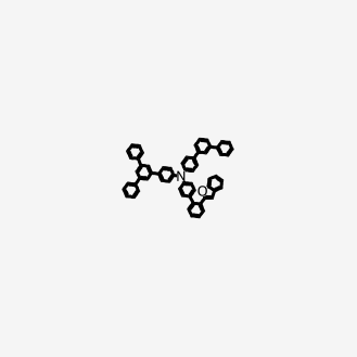 c1ccc(-c2cccc(-c3ccc(N(c4ccc(-c5cc(-c6ccccc6)cc(-c6ccccc6)c5)cc4)c4ccc(-c5ccccc5-c5cc6ccccc6o5)cc4)cc3)c2)cc1